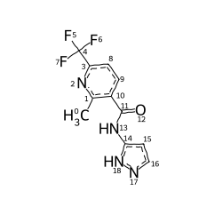 Cc1nc(C(F)(F)F)ccc1C(=O)Nc1ccn[nH]1